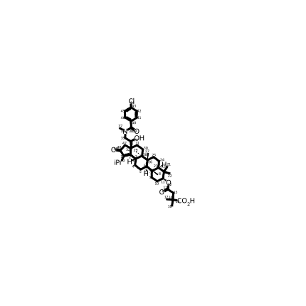 CC(C)C1=C2[C@H]3CC[C@@H]4[C@@]5(C)CC[C@H](OC(=O)CC(C)(C)C(=O)O)C(C)(C)[C@@H]5CC[C@@]4(C)[C@]3(C)CCC2(C(O)CN(C)C(=O)c2ccc(Cl)cc2)CC1=O